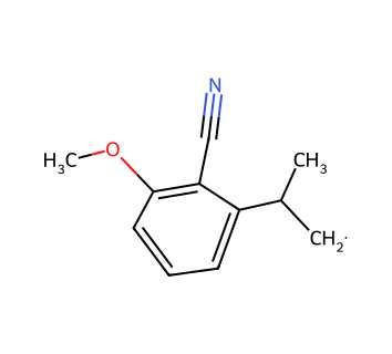 [CH2]C(C)c1cccc(OC)c1C#N